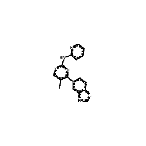 Fc1cnc(Nc2cc[c]cn2)nc1-c1ccc2scnc2c1